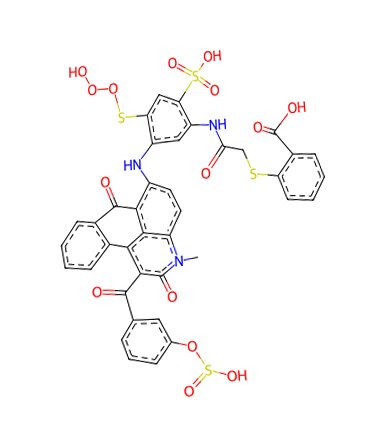 Cn1c(=O)c(C(=O)c2cccc(OS(=O)O)c2)c2c3c(c(Nc4cc(NC(=O)CSc5ccccc5C(=O)O)c(S(=O)(=O)O)cc4SOOO)ccc31)C(=O)c1ccccc1-2